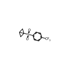 O=S(=O)(c1ccc(C(F)(F)F)cc1)C12CC1C2